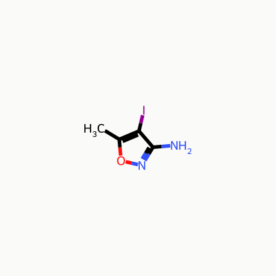 Cc1onc(N)c1I